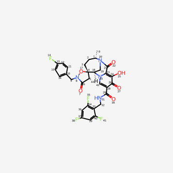 C[C@H]1CC[C@]2(CC(=O)N(Cc3ccc(F)cc3)O2)[C@H]2CN1C(=O)c1c(O)c(=O)c(C(=O)NCc3c(F)cc(F)cc3F)cn12